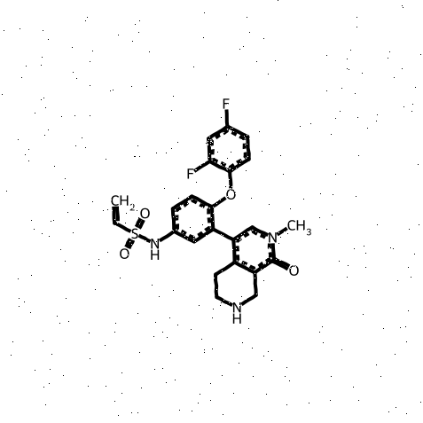 C=CS(=O)(=O)Nc1ccc(Oc2ccc(F)cc2F)c(-c2cn(C)c(=O)c3c2CCNC3)c1